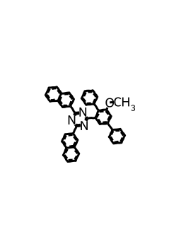 COc1cc(-c2ccccc2)cc(-c2nc(-c3ccc4ccccc4c3)nc(-c3ccc4ccccc4c3)n2)c1-c1ccccc1